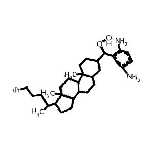 CC(C)CCCC(C)C1CCC2C3CCC4CC(C(OO)c5cc(N)ccc5N)CCC4(C)C3CCC12C